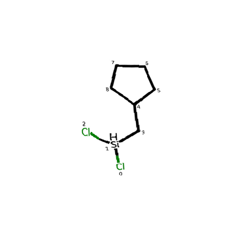 Cl[SiH](Cl)CC1CCCC1